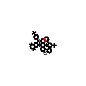 Cc1cc2c3c(c1)N(c1ccc(C(C)(C)C)cc1-c1ccccc1)c1c(ccc4oc5ccccc5c14)B3c1cc3c(cc1N2c1ccc(C(C)(C)C)cc1)C(C)(C)CCC3(C)C